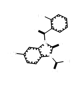 C=C(C)n1c(=O)n(C(=O)c2ccccc2C)c2cc([N+](=O)[O-])ccc21